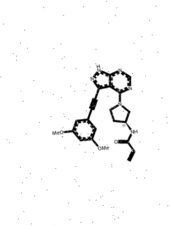 C=CC(=O)N[C@H]1CCN(c2ncnc3[nH]nc(C#Cc4cc(OC)cc(OC)c4)c23)C1